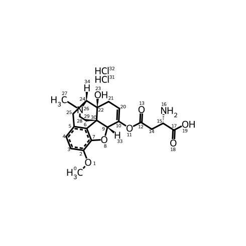 COc1ccc2c3c1O[C@H]1C(OC(=O)C[C@H](N)C(=O)O)=CC[C@@]4(O)[C@@H](C2)N(C)CC[C@]314.Cl.Cl